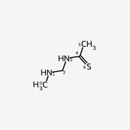 CNCNC(C)=S